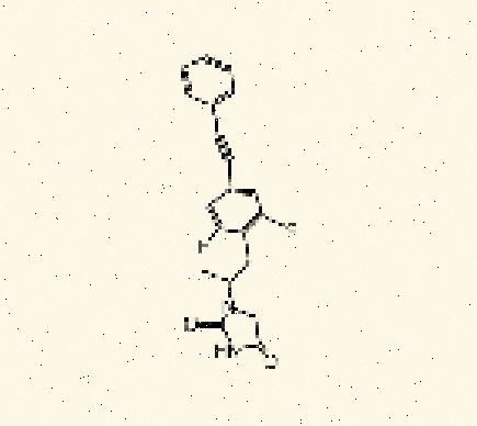 CC(Cc1c(F)cc(C#Cc2ccccc2)cc1F)N1CC(=O)NC1=O